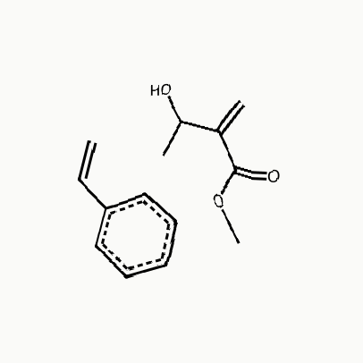 C=C(C(=O)OC)C(C)O.C=Cc1ccccc1